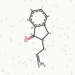 C=CCC1Cc2ccccc2C1=O